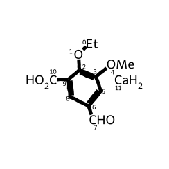 CCOc1c(OC)cc(C=O)cc1C(=O)O.[CaH2]